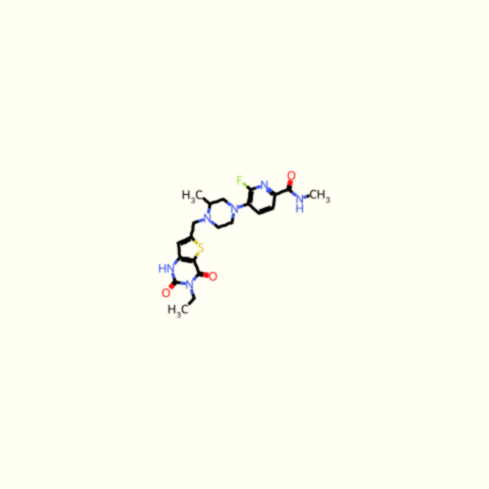 CCn1c(=O)[nH]c2cc(CN3CCN(c4ccc(C(=O)NC)nc4F)CC3C)sc2c1=O